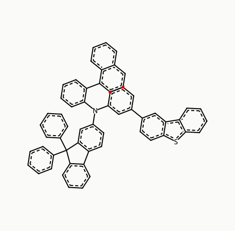 c1ccc(C2(c3ccccc3)c3ccccc3-c3ccc(N(c4cccc(-c5ccc6sc7ccccc7c6c5)c4)c4ccccc4-c4cccc5ccccc45)cc32)cc1